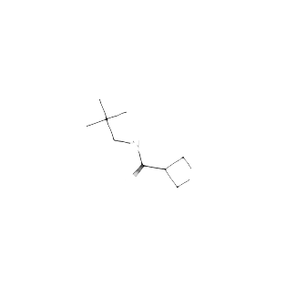 CC(C)(C)CNC(=O)C1COC1